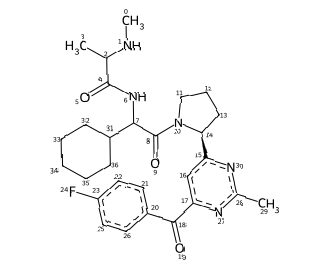 CNC(C)C(=O)NC(C(=O)N1CCC[C@H]1c1cc(C(=O)c2ccc(F)cc2)nc(C)n1)C1CCCCC1